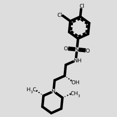 C[C@@H]1CCC[C@H](C)N1C[C@@H](O)CNS(=O)(=O)c1ccc(Cl)c(Cl)c1